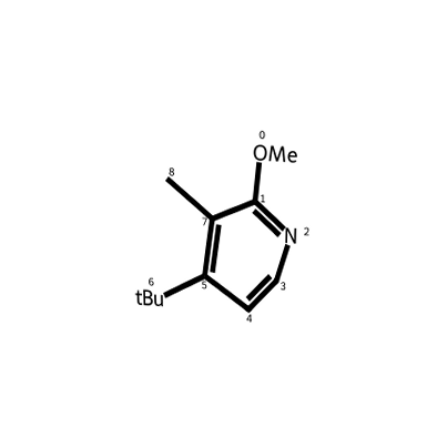 COc1nccc(C(C)(C)C)c1C